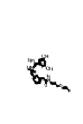 CCCOCCCNC(=O)Cc1cccc(CC(C)(C)NCC(O)c2cc(O)cc(O)c2)c1